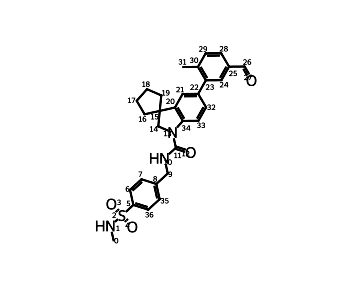 CNS(=O)(=O)c1ccc(CNC(=O)N2CC3(CCCC3)c3cc(-c4cc(C=O)ccc4C)ccc32)cc1